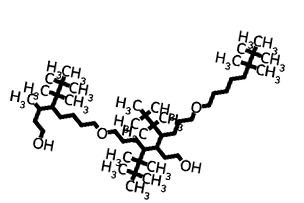 CC(CCO)C(CCCCOCCCC(C(CCO)C(CCCOCCCCCC(C)(C)C(C)(C)C)C(C)(C)C(C)(C)C)C(C)(C)C(C)(C)C)C(C)(C)C(C)(C)C